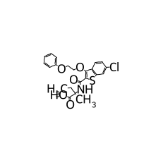 CCC(C)(NC(=O)c1sc2cc(Cl)ccc2c1OCCOc1ccccc1)C(=O)O